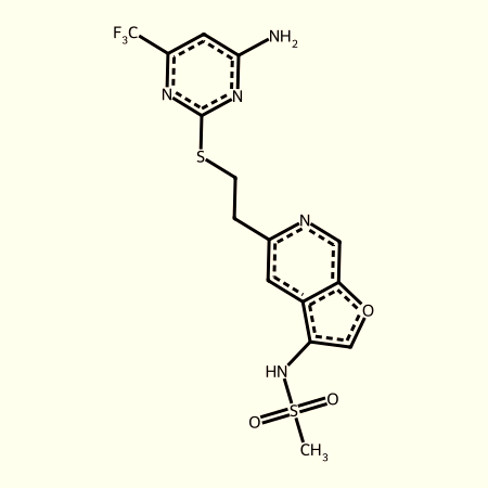 CS(=O)(=O)Nc1coc2cnc(CCSc3nc(N)cc(C(F)(F)F)n3)cc12